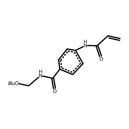 C=CC(=O)Nc1ccc(C(=O)NCOCC(C)C)cc1